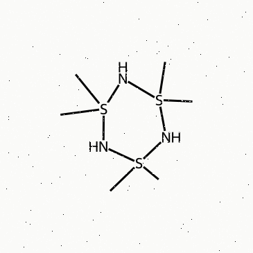 CS1(C)NS(C)(C)NS(C)(C)N1